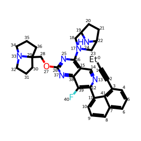 CCC#Cc1cccc2cccc(-c3ncc4c(N5CC6CCC(C5)N6)nc(OCC56CCCN5CCC6)nc4c3F)c12